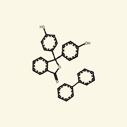 O=C1OC(c2ccc(O)cc2)(c2ccc(O)cc2)c2ccccc21.c1ccc(-c2ccccc2)cc1